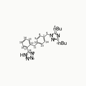 CCCCc1nc(CCCC)n(Cc2ccc(Cc3ccccc3-c3nnn[nH]3)cc2)n1